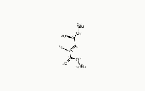 CC(C)(C)OC(=O)C=C(I)C(=O)OC(C)(C)C